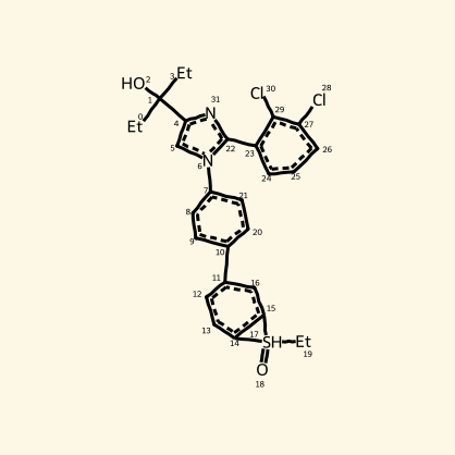 CCC(O)(CC)c1cn(-c2ccc(-c3ccc4c(c3)[SH]4(=O)CC)cc2)c(-c2cccc(Cl)c2Cl)n1